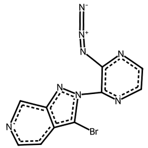 [N-]=[N+]=Nc1nccnc1-n1nc2cnccc2c1Br